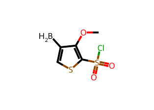 Bc1csc(S(=O)(=O)Cl)c1OC